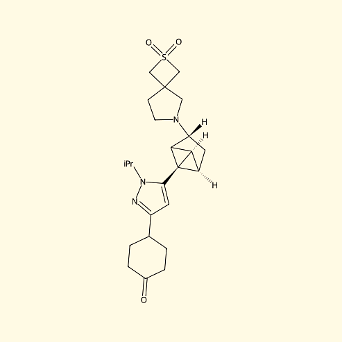 CC(C)n1nc(C2CCC(=O)CC2)cc1[C@]12C3[C@H](N4CCC5(C4)CS(=O)(=O)C5)C[C@@H]1[C@H]32